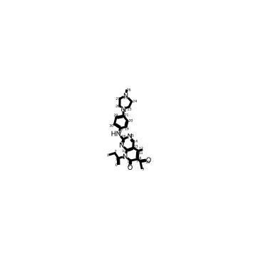 C=C(CC)n1c(=O)c(C(C)=O)c(C)c2cnc(Nc3ccc(N4CCN(C)CC4)cc3)nc21